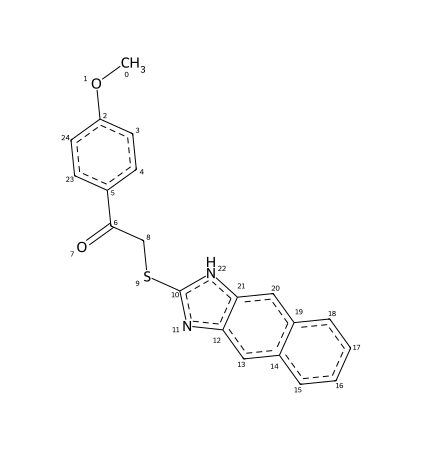 COc1ccc(C(=O)CSc2nc3cc4ccccc4cc3[nH]2)cc1